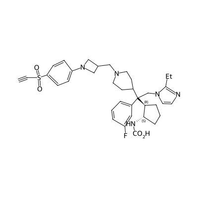 C#CS(=O)(=O)c1ccc(N2CC(CN3CCC(C(Cn4ccnc4CC)(c4cccc(F)c4)[C@H]4CCC[C@@H]4NC(=O)O)CC3)C2)cc1